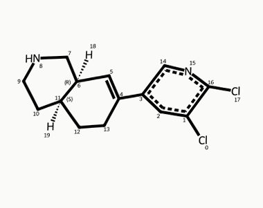 Clc1cc(C2=C[C@@H]3CNCC[C@@H]3CC2)cnc1Cl